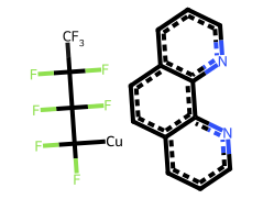 FC(F)(F)C(F)(F)C(F)(F)[C](F)(F)[Cu].c1cnc2c(c1)ccc1cccnc12